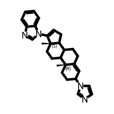 C[C@]12CCC(n3ccnc3)C=C1CCC1C2CC[C@]2(C)C(n3cnc4ccccc43)=CCC12